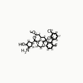 COCCCC[C@@](O)(c1cccc(F)c1-c1cccc(Cl)c1)[C@H]1CN(C(=O)[C@H]2C[C@@H](N)[C@@H](O)C2)CCO1